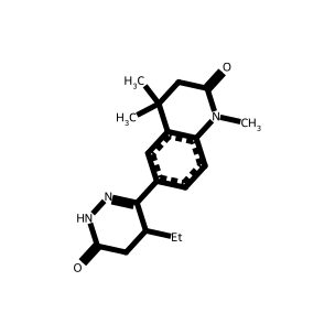 CCC1CC(=O)NN=C1c1ccc2c(c1)C(C)(C)CC(=O)N2C